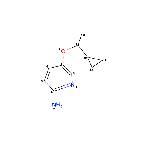 CC(Oc1ccc(N)nc1)C1CC1